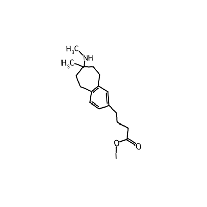 CNC1(C)CCc2ccc(CCCC(=O)OI)cc2CC1